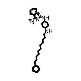 CN(C)c1nc(N[C@H]2CC[C@@H](NCCCCCCCCCCCc3ccccc3)CC2)nc2ccccc12